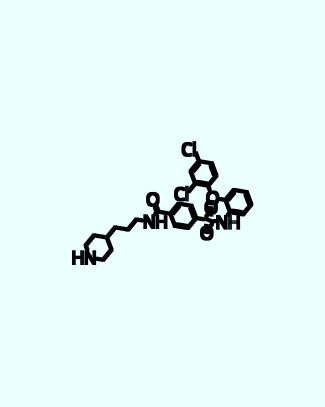 O=C(NCCCC1CCNCC1)c1ccc(S(=O)(=O)Nc2ccccc2Oc2ccc(Cl)cc2Cl)cc1